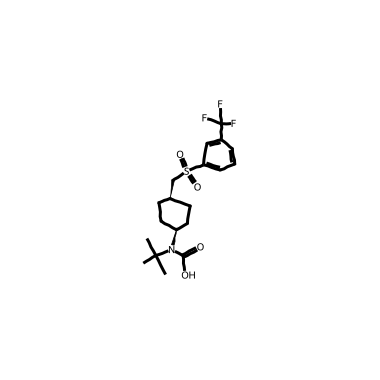 CC(C)(C)N(C(=O)O)[C@H]1CC[C@@H](CS(=O)(=O)c2cccc(C(F)(F)F)c2)CC1